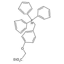 CCOC(=O)COc1ccc(C[PH](c2ccccc2)(c2ccccc2)c2ccccc2)cc1